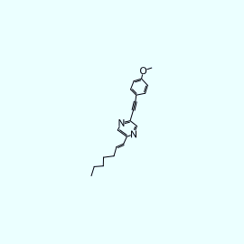 CCCCCC=Cc1cnc(C#Cc2ccc(OC)cc2)cn1